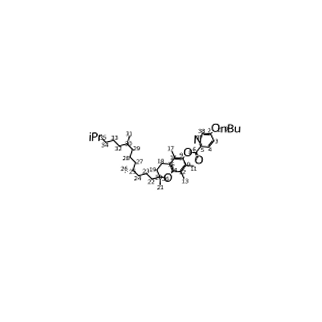 CCCCOc1ccc(C(=O)Oc2c(C)c(C)c3c(c2C)CC[C@@](C)(CCC[C@H](C)CCC[C@H](C)CCCC(C)C)O3)nc1